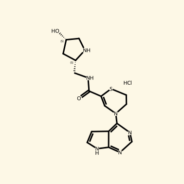 Cl.O=C(NC[C@@H]1C[C@H](O)CN1)C1=CN(c2ncnc3[nH]ccc23)CCS1